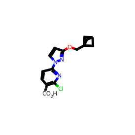 O=C(O)c1ccc(-n2ccc(OCC34CC(C3)C4)n2)nc1Cl